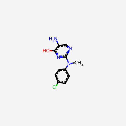 CN(c1ccc(Cl)cc1)c1ncc(N)c(O)n1